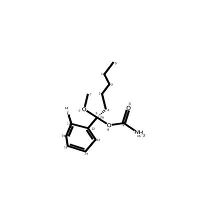 CCCCC[C@](OC)(OC(N)=O)c1ccccc1I